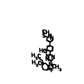 CCC[C@]1(C)CCC[C@H](F)[C@H](N(C)c2cnc(-c3ccc(-c4cnnc(SC)c4)cc3O)nn2)C1